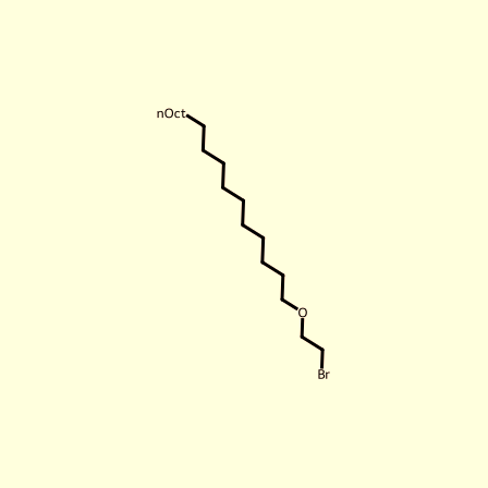 CCCCCCCCCCCCCCCCCCOCCBr